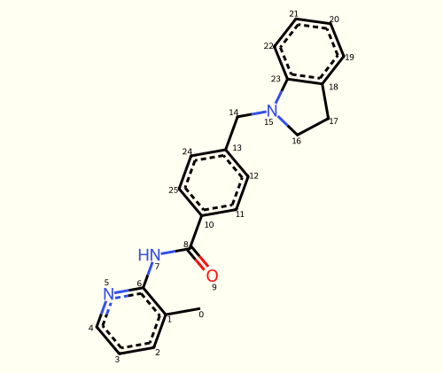 Cc1cccnc1NC(=O)c1ccc(CN2CCc3ccccc32)cc1